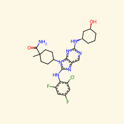 CC1(C(N)=O)CCC(n2c(Nc3c(F)cc(F)cc3Cl)nc3cnc(N[C@@H]4CCC[C@H](O)C4)nc32)CC1